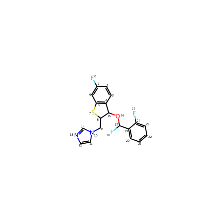 Fc1ccc2c(c1)SC(Cn1ccnc1)C2OC(F)c1ccccc1F